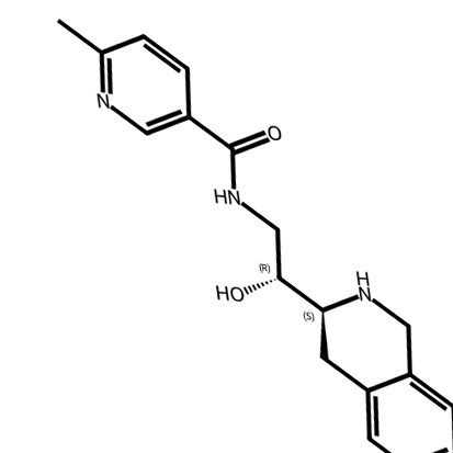 Cc1ccc(C(=O)NC[C@@H](O)[C@@H]2Cc3ccccc3CN2)cn1